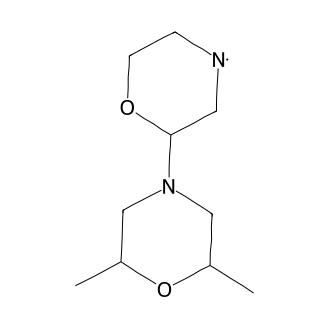 CC1CN(C2C[N]CCO2)CC(C)O1